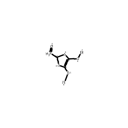 CCOC1=C(OCC)SC([PH2]=O)S1